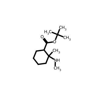 CNC1(C)CCCCC1C(=O)OC(C)(C)C